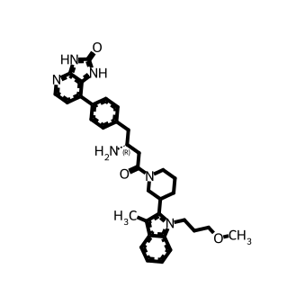 COCCCn1c(C2CCCN(C(=O)C[C@H](N)Cc3ccc(-c4ccnc5[nH]c(=O)[nH]c45)cc3)C2)c(C)c2ccccc21